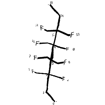 [CH2]CC(F)(F)C(F)(F)C(F)(F)C(F)(F)C[CH2]